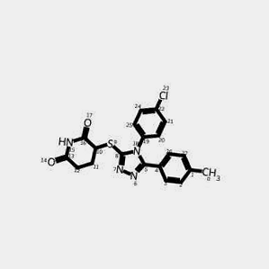 Cc1ccc(-c2nnc(SC3CCC(=O)NC3=O)n2-c2ccc(Cl)cc2)cc1